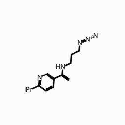 C=C(NCCCN=[N+]=[N-])c1ccc(C(C)C)nc1